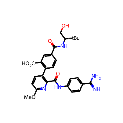 COc1ccc(-c2ccc(C(=O)NC(CO)C(C)(C)C)cc2C(=O)O)c(C(=O)Nc2ccc(C(=N)N)cc2)n1